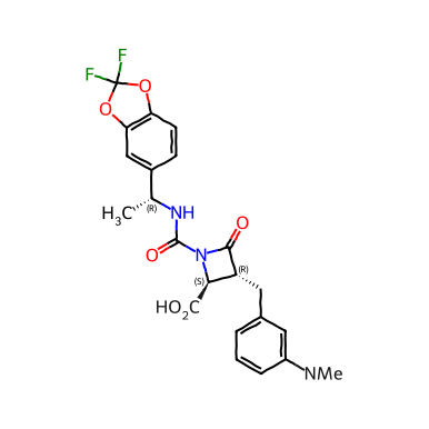 CNc1cccc(C[C@H]2C(=O)N(C(=O)N[C@H](C)c3ccc4c(c3)OC(F)(F)O4)[C@@H]2C(=O)O)c1